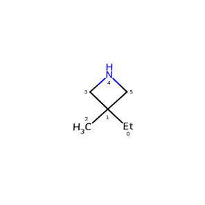 [CH2]CC1(C)CNC1